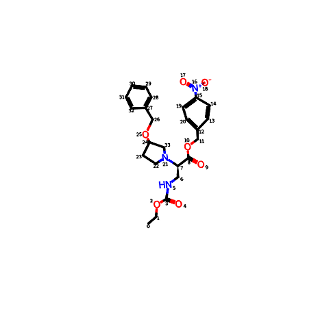 CCOC(=O)NC[C@H](C(=O)OCc1ccc([N+](=O)[O-])cc1)N1CCC(OCc2ccccc2)C1